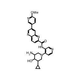 COc1ccc(-c2cnc3ccc(C(=O)Nc4cnccc4N4CC(N)C(O)C(C5CC5)C4)nc3c2)cn1